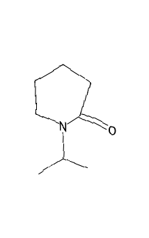 CC(C)N1CCCCC1=O